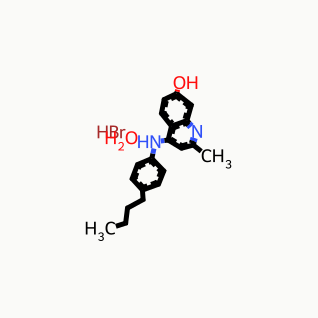 Br.CCCCc1ccc(Nc2cc(C)nc3cc(O)ccc23)cc1.O